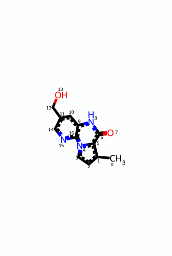 Cc1ccn2c1c(=O)[nH]c1cc(CO)cnc12